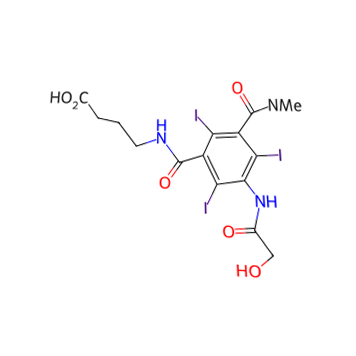 CNC(=O)c1c(I)c(NC(=O)CO)c(I)c(C(=O)NCCCC(=O)O)c1I